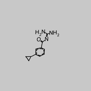 NC(N)=NC(=O)c1cccc(C2CC2)c1